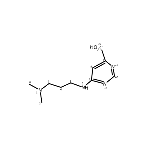 CN(C)CCCNc1cc(C(=O)O)ncn1